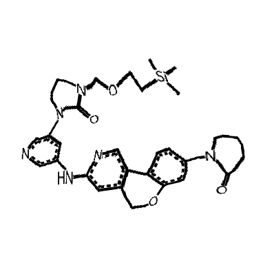 C[Si](C)(C)CCOCN1CCN(c2cncc(Nc3cc4c(cn3)-c3ccc(N5CCCC5=O)cc3OC4)c2)C1=O